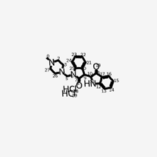 CN1CCN(CN2C(=O)C(C3Nc4ccccc4C3=O)c3ccccc32)CC1.Cl.Cl